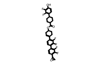 O=C(OC1CC=C(c2ccc(-c3ccc(C4CO4)c(F)c3F)c(F)c2F)CC1)C1CCC(c2ccc(O)c(F)c2F)CC1